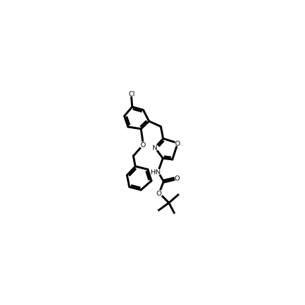 CC(C)(C)OC(=O)Nc1coc(Cc2cc(Cl)ccc2OCc2ccccc2)n1